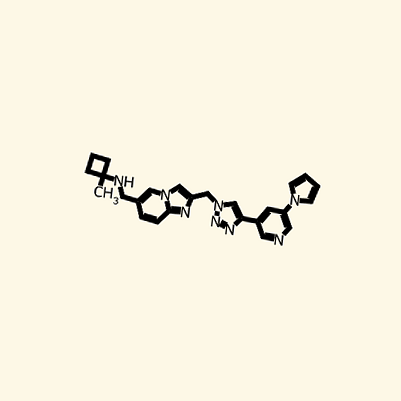 CC1(NCc2ccc3nc(Cn4cc(-c5cncc(-n6cccc6)c5)nn4)cn3c2)CCC1